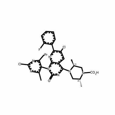 Cc1nc(Cl)nc(C(C)C)c1-n1c(=O)nc(N2C[C@@H](C)N(C(=O)O)C[C@@H]2C)c2cc(Cl)c(-c3ccccc3F)nc21